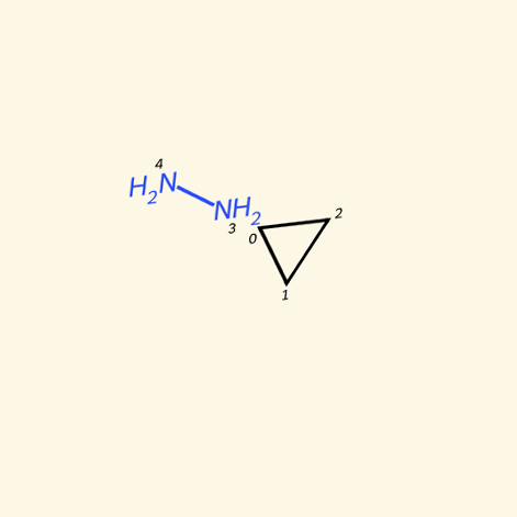 C1CC1.NN